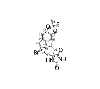 O=C1NC(=O)C2(CCC3(CC2)C(Br)=Cc2cc4c(cc23)OC(F)(F)O4)N1